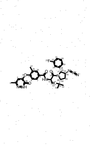 Cc1cc(Oc2ccc(C(=O)NC(C)C(=O)N3[C@H](c4cccc(F)c4)[C@@H](N=[N+]=[N-])C[C@@H]3C(C)(C)C#N)cc2C)c(=O)[nH]n1